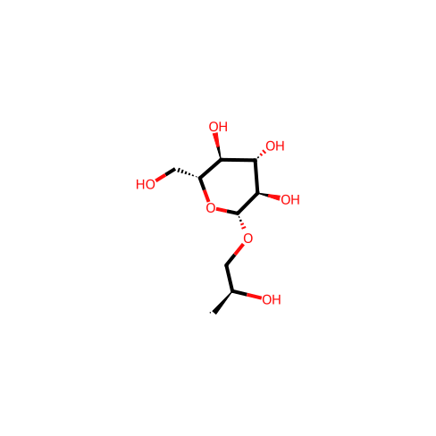 [CH2][C@H](O)CO[C@@H]1O[C@H](CO)[C@@H](O)[C@H](O)[C@H]1O